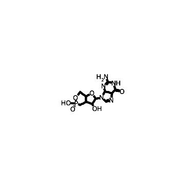 NC1=NC2C(N=CN2C2OC3COP(=O)(O)CC3C2O)C(=O)N1